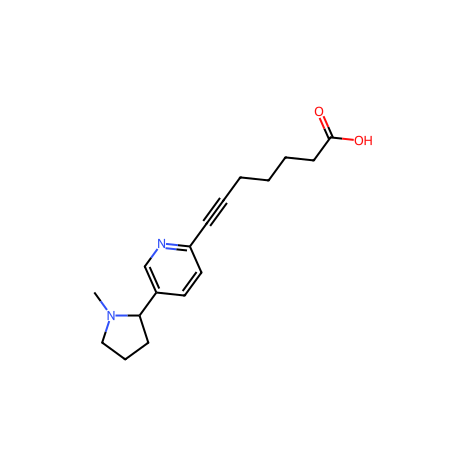 CN1CCCC1c1ccc(C#CCCCCC(=O)O)nc1